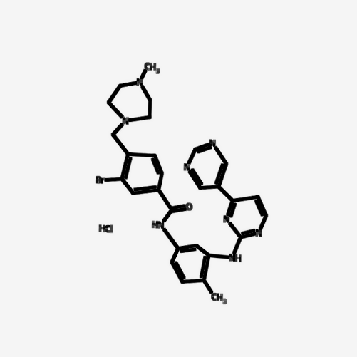 Cc1ccc(NC(=O)c2ccc(CN3CCN(C)CC3)c(Br)c2)cc1Nc1nccc(-c2cncnc2)n1.Cl